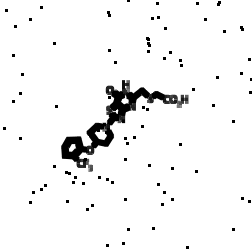 O=C(O)CSCc1nc2nc(N3CCC(Oc4ccccc4C(F)(F)F)CC3)sc2c(=O)[nH]1